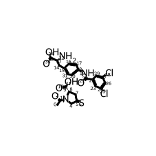 CC(=O)N1CC(=S)C[C@H]1C(=O)O.N[C@@H](Cc1ccc(NC(=O)c2cc(Cl)cc(Cl)c2)cc1)C(=O)O